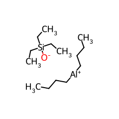 CCC[CH2][Al+][CH2]CCC.CC[Si]([O-])(CC)CC